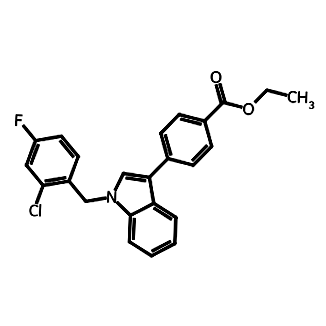 CCOC(=O)c1ccc(-c2cn(Cc3ccc(F)cc3Cl)c3ccccc23)cc1